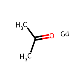 CC(C)=O.[Gd]